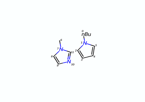 CCCCn1cccc1.Cn1ccnc1